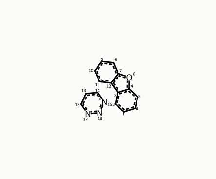 c1ccc2c(c1)oc1ccccc12.c1cnnnc1